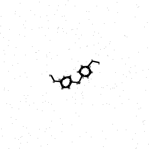 CCc1ccc([N]c2ccc(CC)cc2)cc1